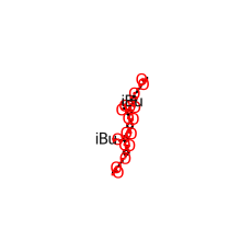 C=CC(=O)OCCCCOc1ccc(C(=O)Oc2ccc(OC(=O)C3CCC(C(=O)Oc4ccc(OC(=O)c5ccc(OCCCCOC(=O)C=C)cc5)c(C(=O)OCC(C)CC)c4)CC3)cc2COCC(C)CC)cc1